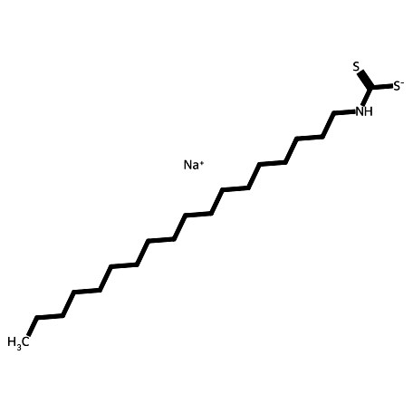 CCCCCCCCCCCCCCCCCCNC(=S)[S-].[Na+]